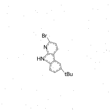 CC(C)(C)c1ccc2[nH]c3nc(Br)ccc3c2c1